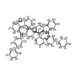 CC1(C)c2ccccc2-c2cc(N(c3ccc(-c4ccccc4)cc3)c3cccc4oc5ccc(-c6ccc7c(c6)c6ccccc6n7-c6cccc(C7=CC=CCC7)c6)cc5c34)ccc21